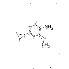 CCc1cc(C2CC2)cnc1N